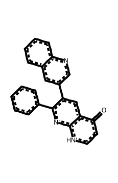 O=c1cc[nH]c2nc(-c3ccccc3)c(-c3cnc4ccccc4c3)cc12